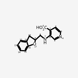 O=C(O)c1ccncc1NCC1Cc2ccccc2O1